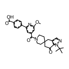 COc1cc(C(=O)N2CCC3(CC2)CC(=O)c2c(cnn2C(C)(C)C)C3)cc(-c2ccc(C(=O)O)cc2)n1